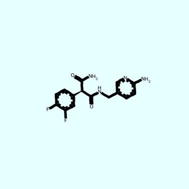 NC(=O)[C@@H](C(=O)NCc1ccc(N)nc1)c1ccc(F)c(F)c1